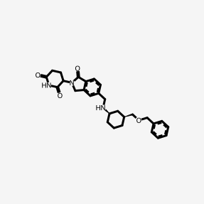 O=C1CCC(N2Cc3cc(CN[C@@H]4CCC[C@H](COCc5ccccc5)C4)ccc3C2=O)C(=O)N1